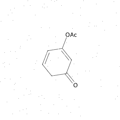 CC(=O)OC1=CC(=O)CC=C1